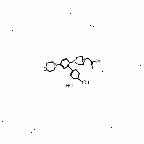 CCC(=O)CN1CCN(c2ccc(N3CCOCC3)cc2C2=CCC(C(C)(C)C)CC2)CC1.Cl